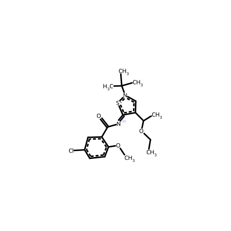 CCOC(C)c1cn(C(C)(C)C)s/c1=N\C(=O)c1cc(Cl)ccc1OC